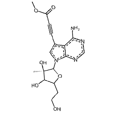 COC(=O)C#Cc1cn(C2OC(CCO)C(O)[C@@]2(C)O)c2ncnc(N)c12